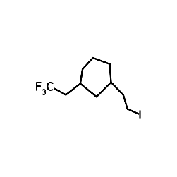 FC(F)(F)CC1CCCC(CCI)C1